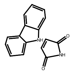 O=C1C=CC(=O)N1.c1ccc2c(c1)[nH]c1ccccc12